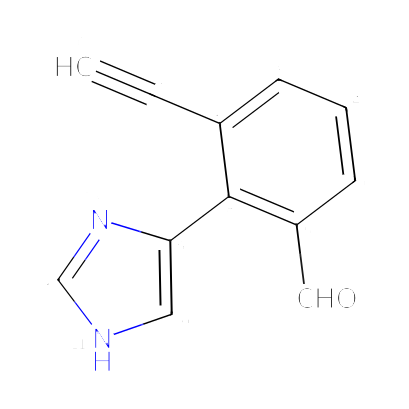 C#Cc1cccc(C=O)c1-c1c[nH]cn1